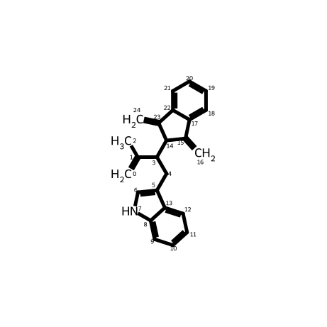 C=C(C)C(Cc1c[nH]c2ccccc12)C1C(=C)c2ccccc2C1=C